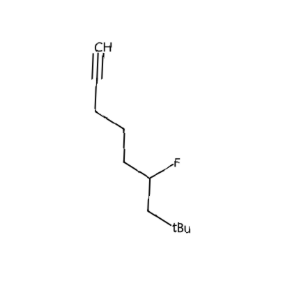 C#CCCCC(F)CC(C)(C)C